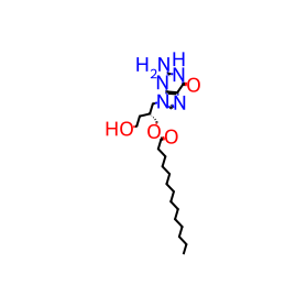 CCCCCCCCCCCCCC(=O)OC[C@H](CCO)Cn1cnc2c(=O)[nH]c(N)nc21